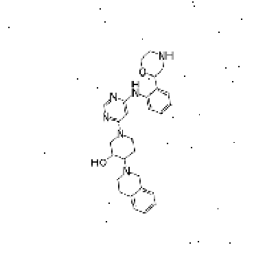 OC1CN(c2cc(Nc3ccccc3C3CNCCO3)ncn2)CCC1N1CCc2ccccc2C1